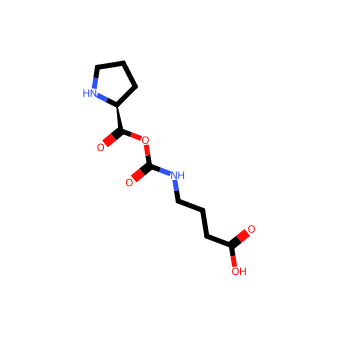 O=C(O)CCCNC(=O)OC(=O)[C@@H]1CCCN1